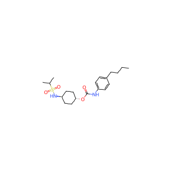 CCCCc1ccc(NC(=O)O[C@H]2CC[C@H](NS(=O)(=O)C(C)C)CC2)cc1